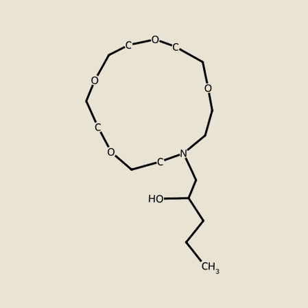 CCCC(O)CN1CCOCCOCCOCCOCC1